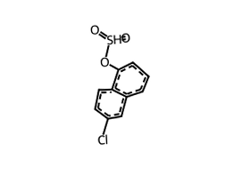 O=[SH](=O)Oc1cccc2cc(Cl)ccc12